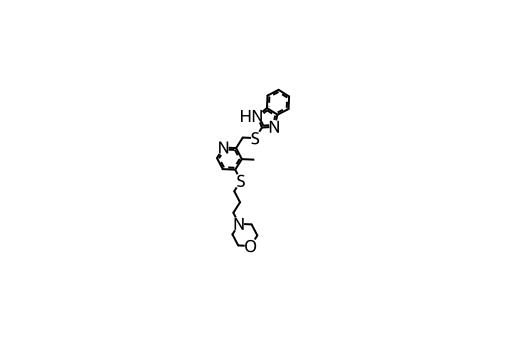 Cc1c(SCCCN2CCOCC2)ccnc1CSc1nc2ccccc2[nH]1